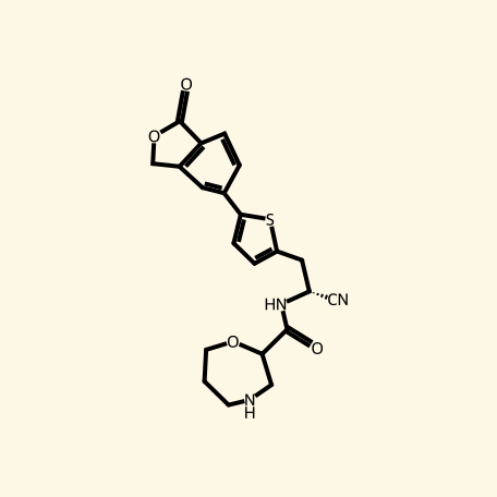 N#C[C@@H](Cc1ccc(-c2ccc3c(c2)COC3=O)s1)NC(=O)C1CNCCCO1